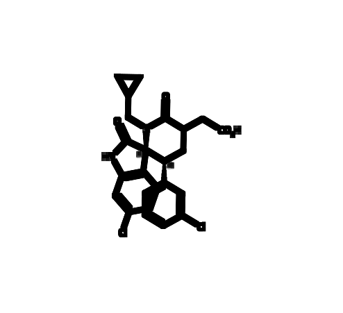 O=C(O)CC1C[C@H](c2cccc(Cl)c2)[C@]2(C(=O)Nc3cc(Cl)ccc32)N(CC2CC2)C1=O